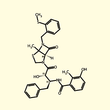 CSc1ccccc1CN1C(=O)[C@H]2N(C(=O)[C@@H](O)[C@H](Cc3ccccc3)NC(=O)c3cccc(O)c3C)CSC21C